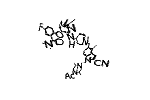 CC(=O)N1CC(C)N(CCn2c(C#N)cc3c(C)c(CN4CCC(Nc5nc(C)ncc5Oc5ccc(F)cc5C(=O)N(C)C)CC4)ccc32)CC1C